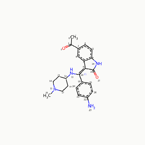 CC(=O)c1ccc2c(c1)/C(=C(\NC1CCN(C)CC1)c1ccc(N)cc1)C(=O)N2